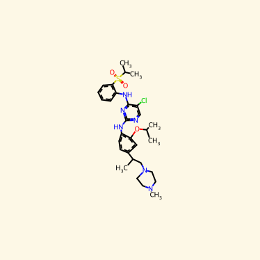 CC(C)Oc1cc(C(C)CN2CCN(C)CC2)ccc1Nc1ncc(Cl)c(Nc2ccccc2S(=O)(=O)C(C)C)n1